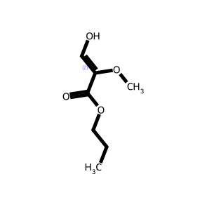 CCCOC(=O)/C(=C/O)OC